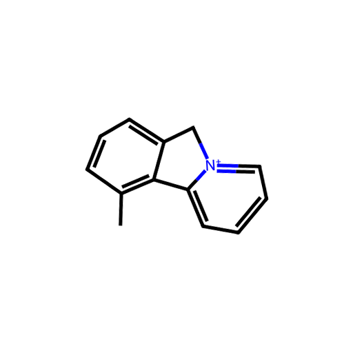 Cc1cccc2c1-c1cccc[n+]1C2